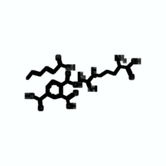 C/C=C/C=C/C(=O)O.N=C(N)NCCCC(N)C(=O)O.O=C(O)c1ccc(C(=O)O)c(C(=O)O)c1